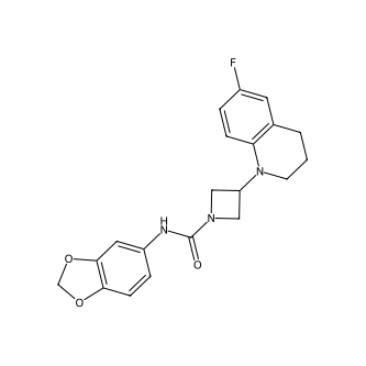 O=C(Nc1ccc2c(c1)OCO2)N1CC(N2CCCc3cc(F)ccc32)C1